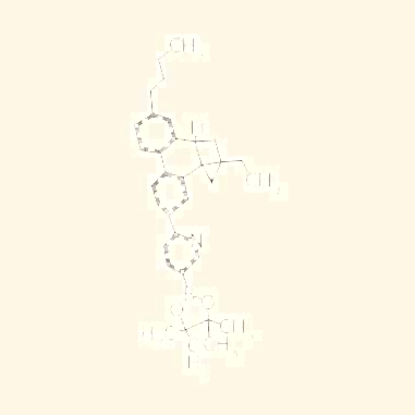 CCCCc1ccc2c(c1)[C@H]1CC3(CC)C[C@@]13c1cc(-c3ccc(B4OC(C)(C)C(C)(C)O4)cn3)ccc1-2